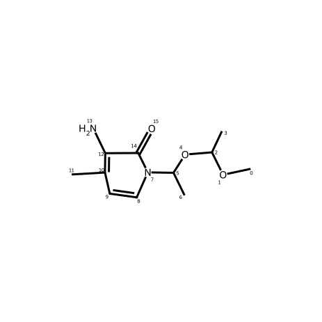 COC(C)OC(C)n1ccc(C)c(N)c1=O